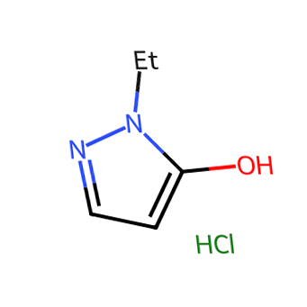 CCn1nccc1O.Cl